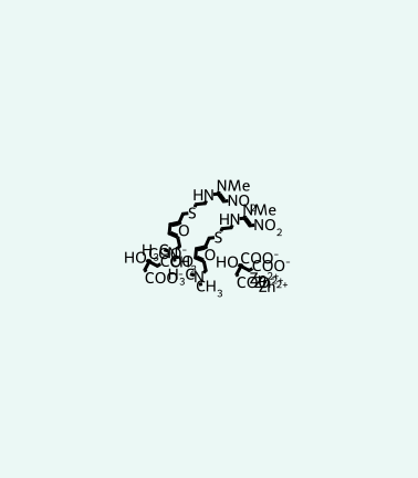 CNC(=C[N+](=O)[O-])NCCSCc1ccc(CN(C)C)o1.CNC(=C[N+](=O)[O-])NCCSCc1ccc(CN(C)C)o1.O=C([O-])CC(O)(CC(=O)[O-])C(=O)[O-].O=C([O-])CC(O)(CC(=O)[O-])C(=O)[O-].[Zn+2].[Zn+2].[Zn+2]